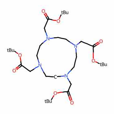 CC(C)(C)OC(=O)CN1CCN(CC(=O)OC(C)(C)C)CCN(CC(=O)OC(C)(C)C)CCN(CC(=O)OC(C)(C)C)CC1